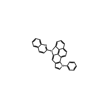 c1ccc(-n2ccc3cc4c5c(ccc6cccc(c65)n4-c4ccc5ccccc5n4)c32)cc1